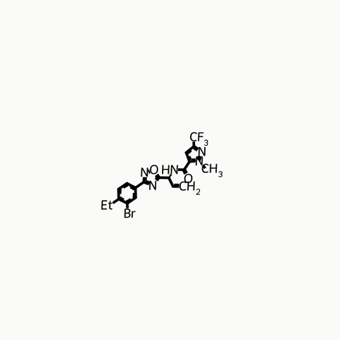 C=C[C@H](NC(=O)c1cc(C(F)(F)F)nn1C)c1nc(-c2ccc(CC)c(Br)c2)no1